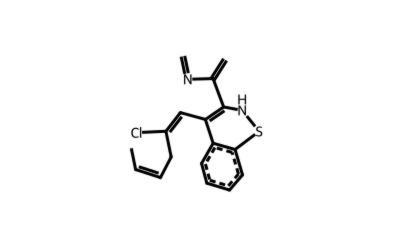 C=NC(=C)C1=C(/C=C(/Cl)C/C=C\C)c2ccccc2SN1